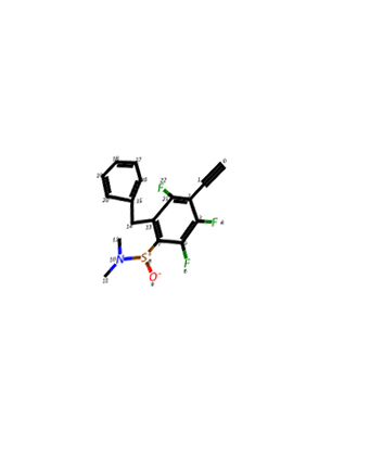 C#Cc1c(F)c(F)c([S+]([O-])N(C)C)c(Cc2ccccc2)c1F